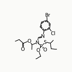 CCOP(=O)(SC(C)CC)N(C=Nc1ccc(Br)cc1Cl)C(C)OC(=O)CC